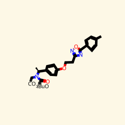 Cc1ccc(-c2nc(CCOc3ccc([C@H](C)N(CC(=O)O)C(=O)OCC(C)C)cc3)no2)cc1